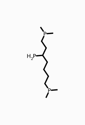 CP(C)CCCCC(P)CCP(C)C